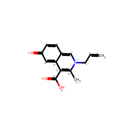 C=CCn1cc2ccc(=O)cc-2c(C(=O)O)c1C